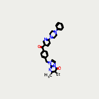 CCc1c(C)nc2n(Cc3ccc(C(=O)c4ccc(N5CCN(c6ccccc6)CC5)nc4)cc3)ccn2c1=O